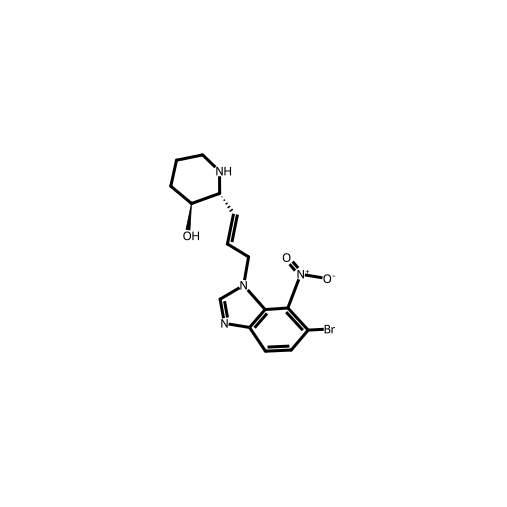 O=[N+]([O-])c1c(Br)ccc2ncn(C/C=C/[C@H]3NCCC[C@@H]3O)c12